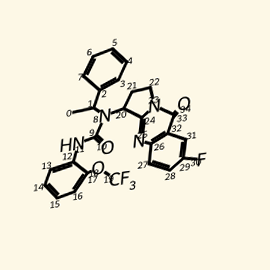 CC(c1ccccc1)N(C(=O)Nc1ccccc1OC(F)(F)F)C1CCn2c1nc1ccc(F)cc1c2=O